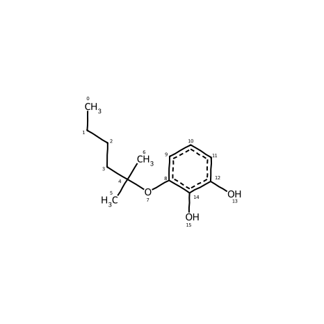 CCCCC(C)(C)Oc1cccc(O)c1O